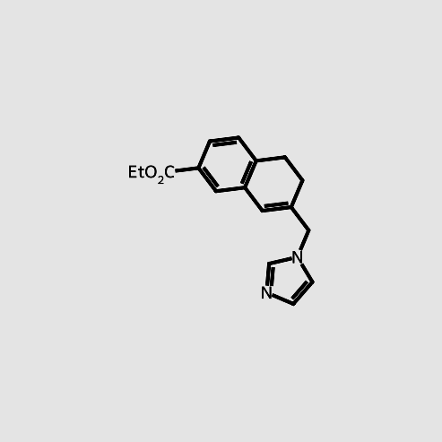 CCOC(=O)c1ccc2c(c1)C=C(Cn1ccnc1)CC2